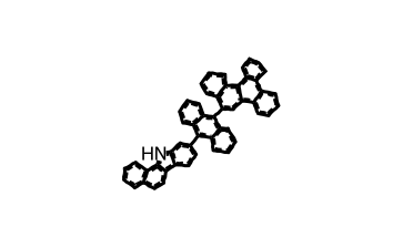 c1ccc2c(c1)ccc1c3ccc(-c4c5ccccc5c(-c5cc6c7ccccc7c7ccccc7c6c6ccccc56)c5ccccc45)cc3[nH]c21